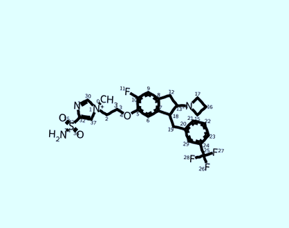 C[N+]1(CCOc2cc3c(cc2F)CC(N2CCC2)C3Cc2cccc(C(F)(F)F)c2)C=NC(S(N)(=O)=O)=C1